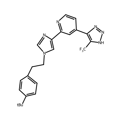 CC(C)(C)c1ccc(CCn2cnc(-c3cc(-c4nn[nH]c4C(F)(F)F)ccn3)c2)cc1